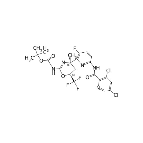 CC(C)(C)OC(=O)NC1=N[C@](C)(c2nc(NC(=O)c3ncc(Cl)cc3Cl)ccc2F)C[C@@H](C(F)(F)F)O1